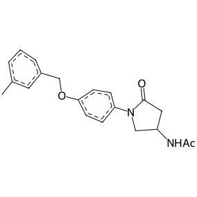 CC(=O)NC1CC(=O)N(c2ccc(OCc3cccc(C)c3)cc2)C1